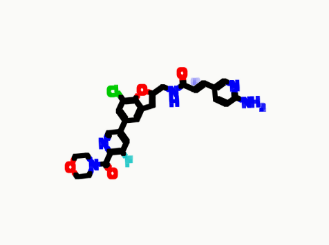 Nc1ccc(/C=C/C(=O)NCc2cc3cc(-c4cnc(C(=O)N5CCOCC5)c(F)c4)cc(Cl)c3o2)cn1